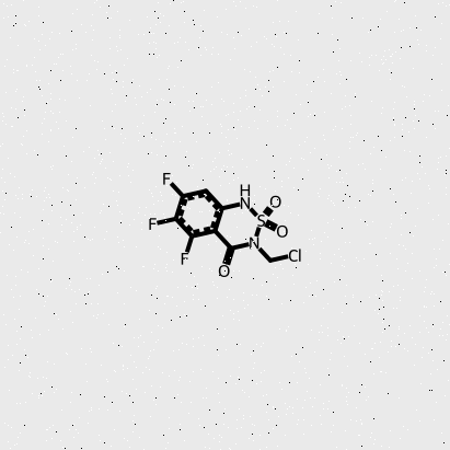 O=C1c2c(cc(F)c(F)c2F)NS(=O)(=O)N1CCl